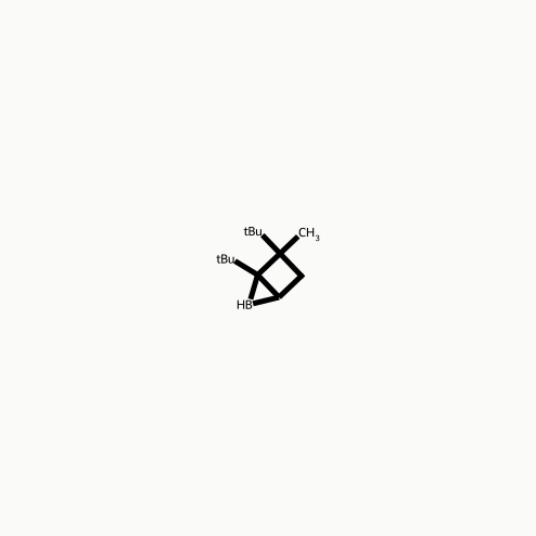 CC(C)(C)C1(C)CC2BC21C(C)(C)C